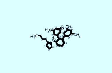 CCCCC1=C([SiH2]c2cccc(-c3cc(C)cc(C)c3)c2-c2cc(C)cc(C)c2)CC=C1